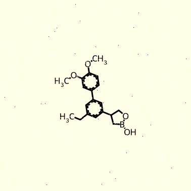 CCc1cc(-c2ccc(OC)c(OC)c2)cc(C2COB(O)C2)c1